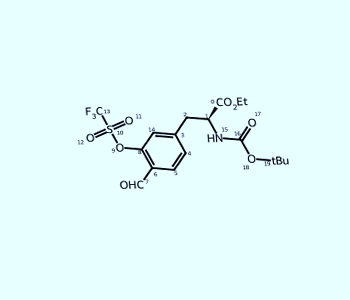 CCOC(=O)[C@H](Cc1ccc(C=O)c(OS(=O)(=O)C(F)(F)F)c1)NC(=O)OC(C)(C)C